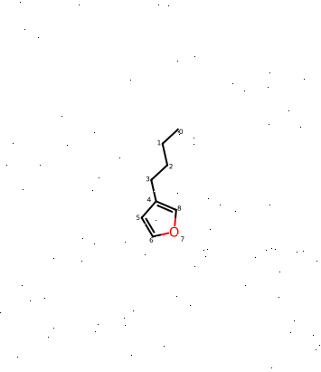 [CH2]CCCc1ccoc1